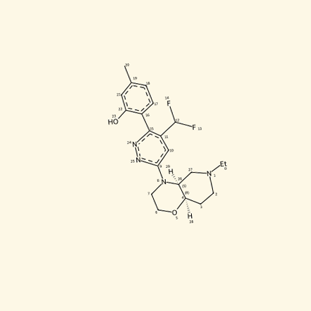 CCN1CC[C@H]2OCCN(c3cc(C(F)F)c(-c4ccc(C)cc4O)nn3)[C@H]2C1